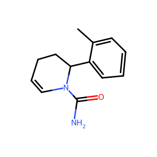 Cc1ccccc1C1CCC=CN1C(N)=O